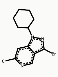 Clc1cc2c(cn1)c(Br)nn2C1CCCCC1